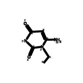 CCN1C(=O)[N]C(=O)C=C1N